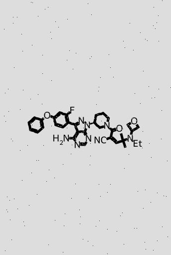 CCN(C1COC1)C(C)(C)/C=C(/C#N)C(=O)N1CCC[C@H](n2nc(-c3ccc(Oc4ccccc4)cc3F)c3c(N)ncnc32)C1